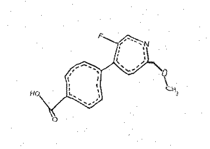 COc1cc(-c2ccc(C(=O)O)cc2)c(F)cn1